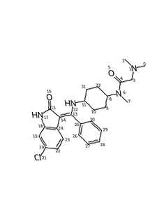 CN(C)CC(=O)N(C)C1CCC(N/C(=C2\C(=O)Nc3cc(Cl)ccc32)c2ccccc2)CC1